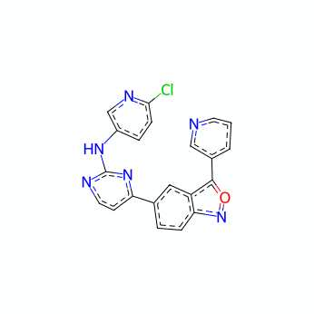 Clc1ccc(Nc2nccc(-c3ccc4noc(-c5cccnc5)c4c3)n2)cn1